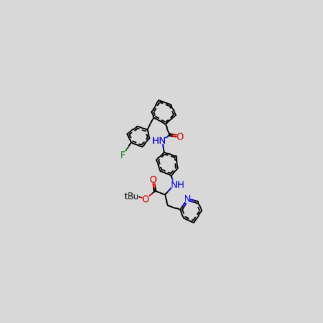 CC(C)(C)OC(=O)C(Cc1ccccn1)Nc1ccc(NC(=O)c2ccccc2-c2ccc(F)cc2)cc1